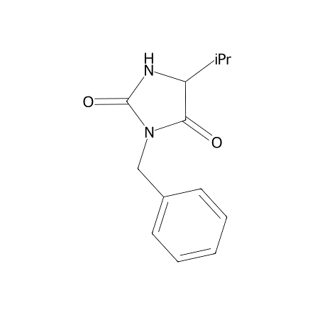 CC(C)C1NC(=O)N(Cc2ccccc2)C1=O